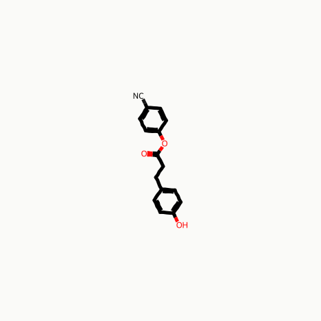 N#Cc1ccc(OC(=O)CCc2ccc(O)cc2)cc1